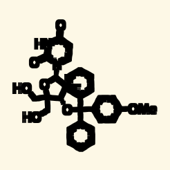 COc1ccc(C(O[C@@H]2C(CO)(CO)O[C@@H](n3ccc(=O)[nH]c3=O)C2(F)F)(c2ccccc2)c2ccccc2)cc1